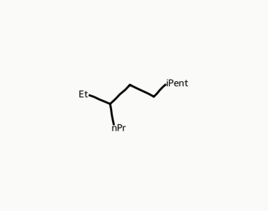 [CH2]CCC(C)CCC(CC)CC[CH2]